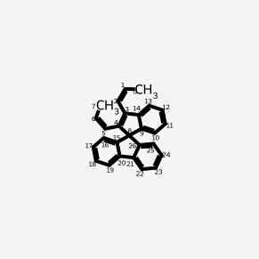 C/C=C\C1=C(/C=C\C)C2(c3ccccc31)c1ccccc1-c1ccccc12